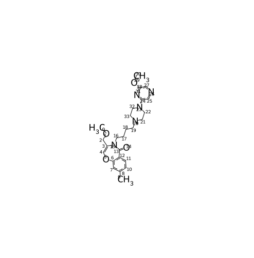 COCC1=COc2cc(C)ccc2C(=O)N1CCCCN1CCN(c2cncc(OC)n2)CC1